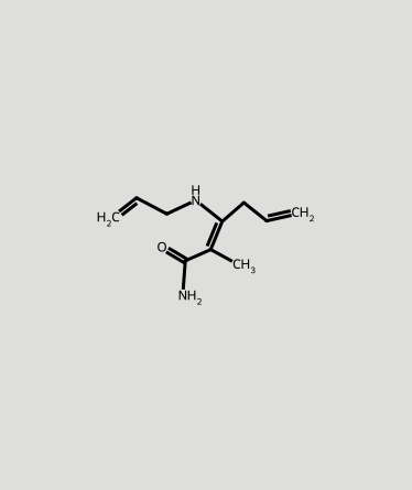 C=CCNC(CC=C)=C(C)C(N)=O